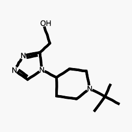 CC(C)(C)N1CCC(n2cnnc2CO)CC1